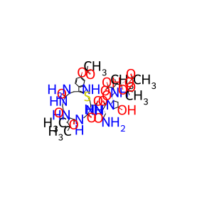 CC[C@H](C)[C@@H]1NC(=O)CNC(=O)[C@@H](N)Cc2c([nH]c3cc(OC(C)=O)ccc23)SC[C@@H](C(=O)N[C@@H](CC(N)=O)C(=O)N2C[C@H](O)C[C@H]2C(=O)NC(C(=O)O)[C@@H](C)[C@H](COC(C)=O)OC(C)=O)NC(=O)CNC1=O